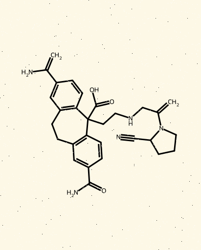 C=C(N)c1ccc2c(c1)CCc1cc(C(N)=O)ccc1C2(CCNCC(=C)N1CCCC1C#N)C(=O)O